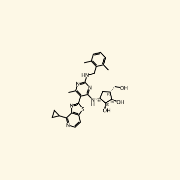 Cc1cccc(C)c1CNc1nc(C)c(-c2nc3c(C4CC4)nccc3s2)c(N[C@@H]2C[C@H](CO)[C@@H](O)[C@H]2O)n1